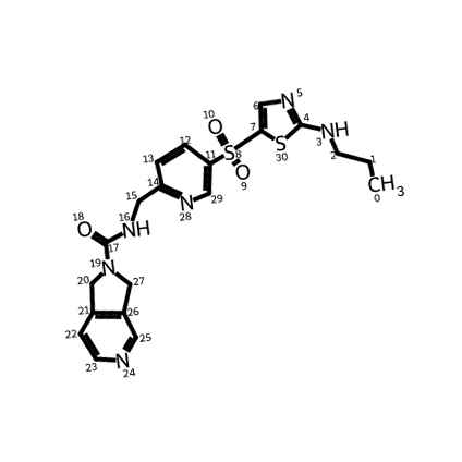 CCCNc1ncc(S(=O)(=O)c2ccc(CNC(=O)N3Cc4ccncc4C3)nc2)s1